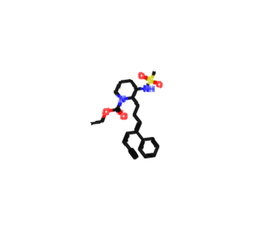 C#C/C=C\C(=C/CCC1C(NS(C)(=O)=O)CCCN1C(=O)OCC)c1ccccc1